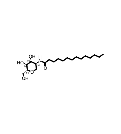 CCCCCCCCCCCCCC(=O)N[C@H]1[CH]O[C@H](CO)[C@@H](O)[C@@H]1O